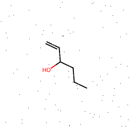 C=CC(O)C[CH]C